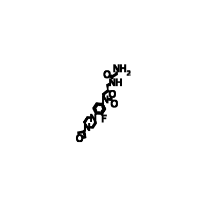 NCC(=O)NC[C@@H]1CN(c2ccc(N3CCN(C4COC4)CC3)c(F)c2)C(=O)O1